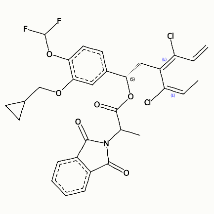 C=C/C(Cl)=C(C[C@H](OC(=O)C(C)N1C(=O)c2ccccc2C1=O)c1ccc(OC(F)F)c(OCC2CC2)c1)\C(Cl)=C/C